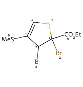 CCOC(=O)C1(Br)SC=C(SC)C1Br